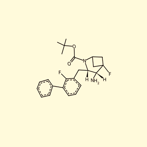 CC(C)(C)OC(=O)N1C2CC(F)(C2)[C@H](N)[C@@H]1Cc1cccc(-c2ccccc2)c1F